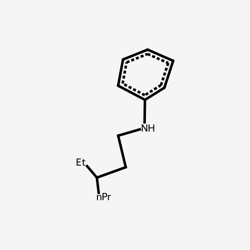 CCCC(CC)CCNc1ccccc1